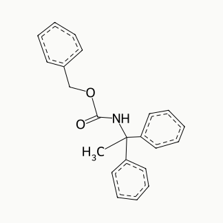 CC(NC(=O)OCc1ccccc1)(c1ccccc1)c1ccccc1